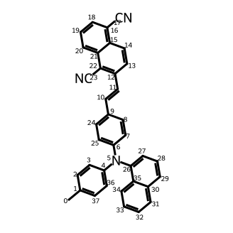 Cc1ccc(N(c2ccc(C=Cc3ccc4c(C#N)cccc4c3C#N)cc2)c2cccc3ccccc23)cc1